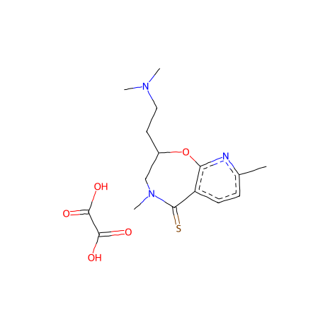 Cc1ccc2c(n1)OC(CCN(C)C)CN(C)C2=S.O=C(O)C(=O)O